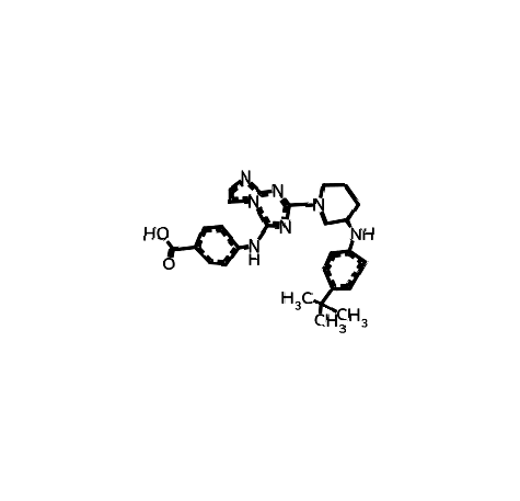 CC(C)(C)c1ccc(NC2CCCN(c3nc(Nc4ccc(C(=O)O)cc4)n4ccnc4n3)C2)cc1